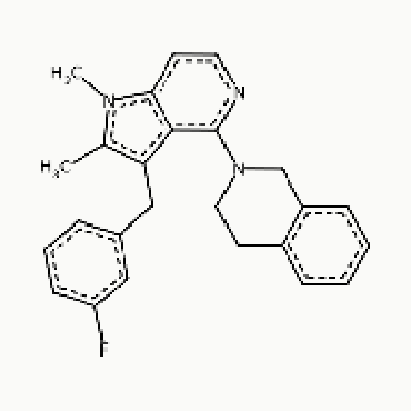 Cc1c(Cc2cccc(F)c2)c2c(N3CCc4ccccc4C3)nccc2n1C